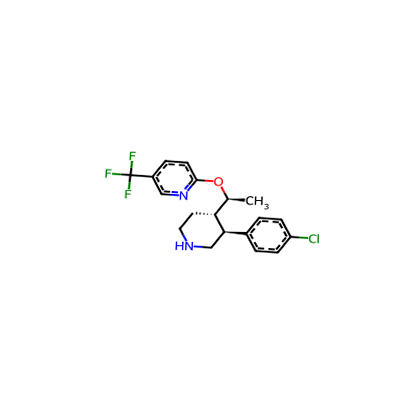 C[C@H](Oc1ccc(C(F)(F)F)cn1)[C@H]1CCNC[C@@H]1c1ccc(Cl)cc1